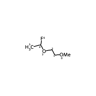 COCCOC(C)F